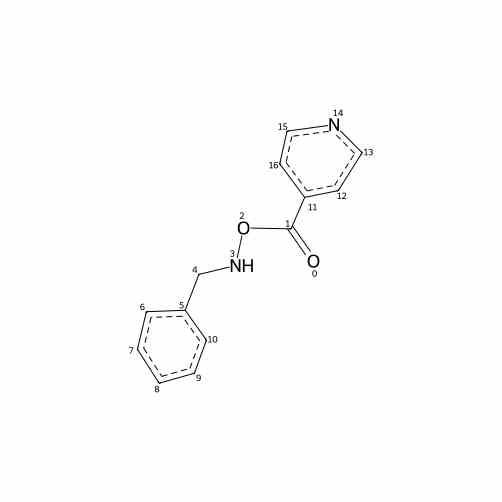 O=C(ONCc1ccccc1)c1ccncc1